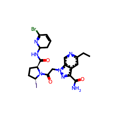 CCc1cc2c(C(N)=O)nn(CC(=O)N3[C@H](I)CC[C@H]3C(=O)NC3CC=CC(Br)=N3)c2cn1